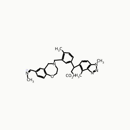 C/N=C\c1ccc2c(c1)CN(Cc1cc(C(CC(=O)O)c3ccc4c(nnn4C)c3C)ccc1C)CCO2